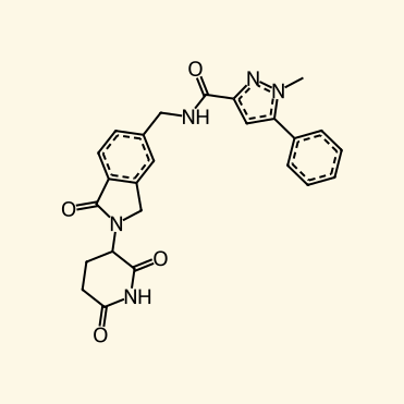 Cn1nc(C(=O)NCc2ccc3c(c2)CN(C2CCC(=O)NC2=O)C3=O)cc1-c1ccccc1